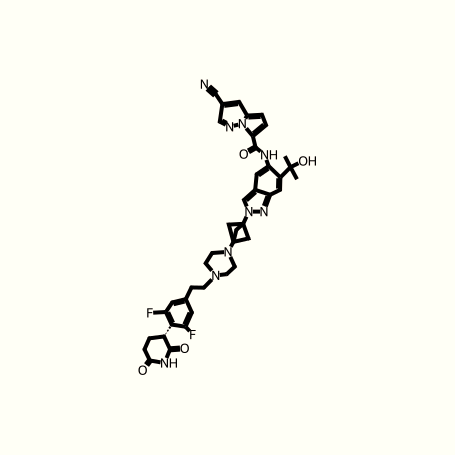 CC(C)(O)c1cc2nn(C34CC(N5CCN(CCc6cc(F)c([C@H]7CCC(=O)NC7=O)c(F)c6)CC5)(C3)C4)cc2cc1NC(=O)c1ccc2cc(C#N)cnn12